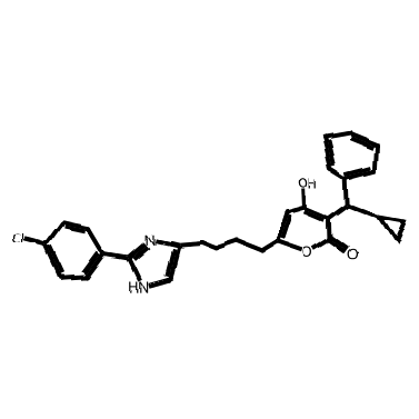 O=c1oc(CCCCc2c[nH]c(-c3ccc(Cl)cc3)n2)cc(O)c1C(c1ccccc1)C1CC1